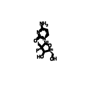 Nc1ccn([C@@H]2O[C@H](CO)C(O)[C@@]2(F)I)c(=O)n1